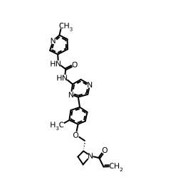 C=CC(=O)N1CC[C@@H]1COc1ccc(-c2cncc(NC(=O)Nc3ccc(C)nc3)n2)cc1C